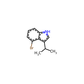 CC(C)c1c[nH]c2cccc(Br)c12